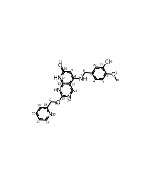 COc1ccc(CNc2cc(=O)[nH]c3nc(OCc4ccccn4)ncc23)cc1Cl